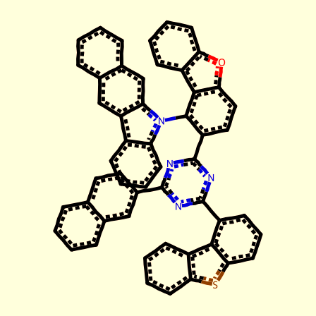 c1ccc2cc(-c3nc(-c4ccc5oc6ccccc6c5c4-n4c5ccccc5c5cc6ccccc6cc54)nc(-c4cccc5sc6ccccc6c45)n3)ccc2c1